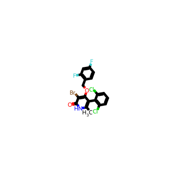 Cc1[nH]c(=O)c(Br)c(OCc2ccc(F)cc2F)c1-c1c(Cl)cccc1Cl